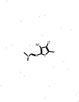 CN(C)C=Nc1sc(Br)c(Cl)c1C#N